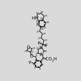 O=C(O)C(c1cccc(F)c1COC1COC1)N1CC[C@@H](C(F)(F)CCCCc2ccc3c(n2)NCCC3)C1